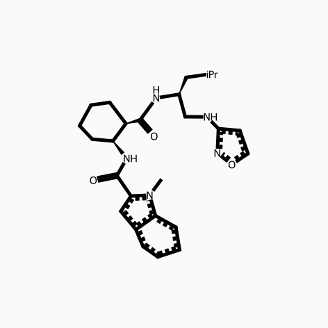 CC(C)C[C@@H](CNc1ccon1)NC(=O)[C@@H]1CCCC[C@@H]1NC(=O)c1cc2ccccc2n1C